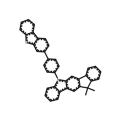 CC1(C)c2ccccc2-c2cc3c(cc21)c1ccccc1n3-c1ccc(-c2ccc3c(c2)sc2ccccc23)cc1